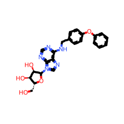 OC[C@H]1OC(n2cnc3c(NCc4ccc(Oc5ccccc5)cc4)ncnc32)[C@H](O)[C@@H]1O